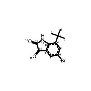 CC(C)(C)c1cc(Br)cc2c1NC(=O)C2=O